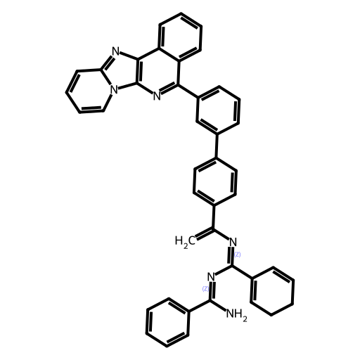 C=C(/N=C(\N=C(/N)c1ccccc1)C1=CCCC=C1)c1ccc(-c2cccc(-c3nc4c(nc5ccccn54)c4ccccc34)c2)cc1